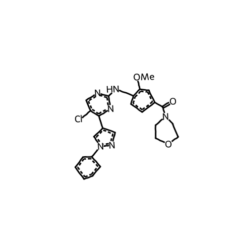 COc1cc(C(=O)N2CCOCC2)ccc1Nc1ncc(Cl)c(-c2cnn(-c3ccccc3)c2)n1